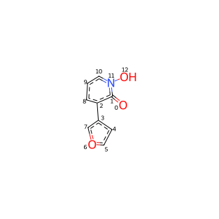 O=c1c(-c2ccoc2)cccn1O